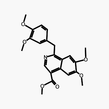 COC(=O)c1cnc(Cc2ccc(OC)c(OC)c2)c2cc(OC)c(OC)cc12